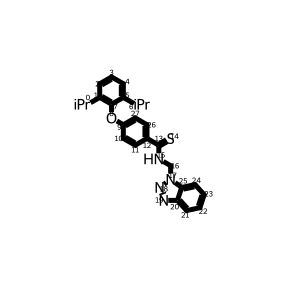 CC(C)c1cccc(C(C)C)c1Oc1ccc(C(=S)NCn2nnc3ccccc32)cc1